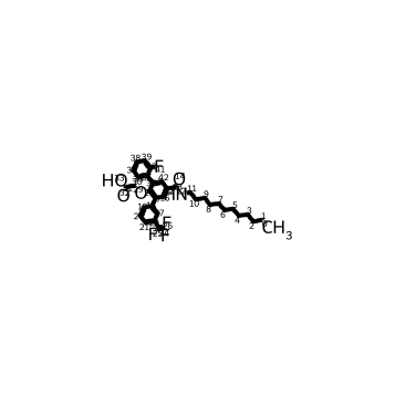 CCCCCCCCCCCCNC(=O)c1cc(-c2cccc(C(F)(F)F)c2)c(OCC(=O)O)c(-c2ccccc2F)c1